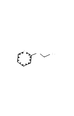 CC(C)(C)COc1ccccn1